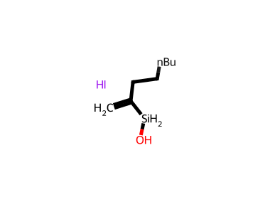 C=C(CCCCCC)[SiH2]O.I